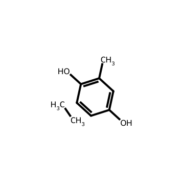 CC.Cc1cc(O)ccc1O